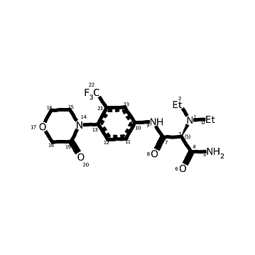 CCN(CC)[C@@H](C(N)=O)C(=O)Nc1ccc(N2CCOCC2=O)c(C(F)(F)F)c1